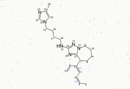 C=C/C(=C\C=C/C)C1CCCCn2nc(NCCCCn3cnc(C)c3)nc21